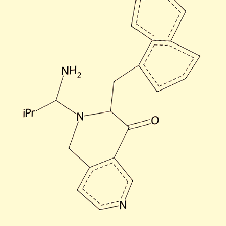 CC(C)C(N)N1Cc2ccncc2C(=O)C1Cc1cccc2ccccc12